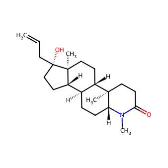 C=CC[C@]1(O)CC[C@H]2[C@@H]3CC[C@H]4N(C)C(=O)CC[C@]4(C)[C@H]3CC[C@@]21C